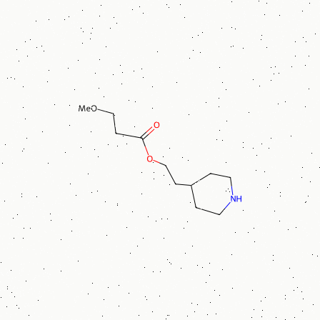 COCCC(=O)OCCC1CCNCC1